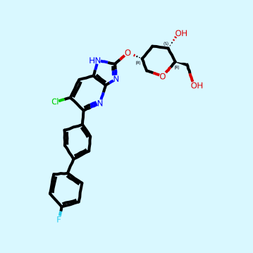 OC[C@H]1OC[C@H](Oc2nc3nc(-c4ccc(-c5ccc(F)cc5)cc4)c(Cl)cc3[nH]2)C[C@@H]1O